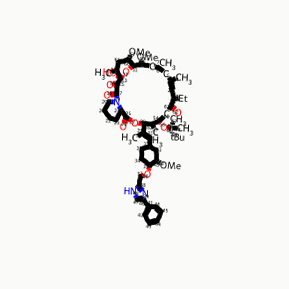 CCC1/C=C(\C)CC(C)CC(OC)C2OC(O)(C(=O)C(=O)N3CCCCC3C(=O)OC(C(C)=CC3CCC(OCc4nc(-c5ccccc5)c[nH]4)C(OC)C3)C(C)C(O[Si](C)(C)C(C)(C)C)CC1=O)C(C)CC2OC